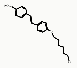 O=C(O)c1ccc(/C=C/c2ccc(OCCCCCCO)cc2)cc1